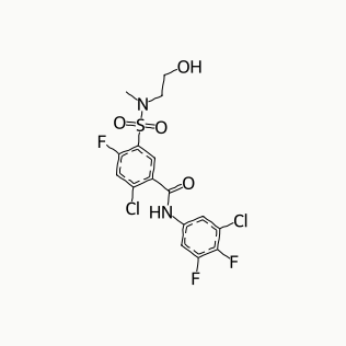 CN(CCO)S(=O)(=O)c1cc(C(=O)Nc2cc(F)c(F)c(Cl)c2)c(Cl)cc1F